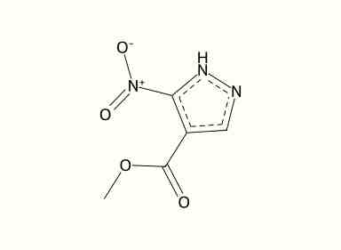 COC(=O)c1cn[nH]c1[N+](=O)[O-]